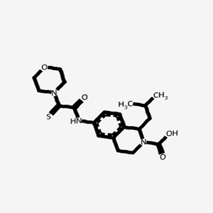 CC(C)CC1c2ccc(NC(=O)C(=S)N3CCOCC3)cc2CCN1C(=O)O